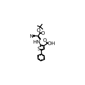 CC(C)(C)OC(=O)/C(C#N)=C/Nc1sc(-c2ccccc2)cc1C(=O)O